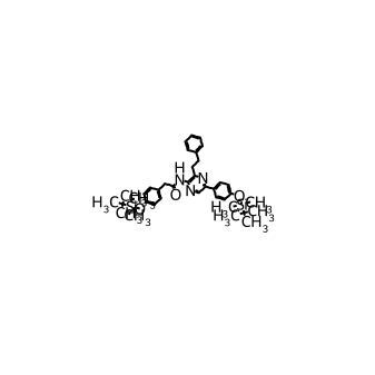 CC(C)(C)[Si](C)(C)Oc1ccc(CC(=O)Nc2ncc(-c3ccc(O[Si](C)(C)C(C)(C)C)cc3)nc2CCc2ccccc2)cc1